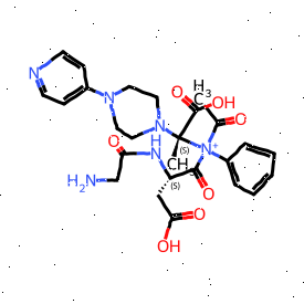 CC(=O)[N+](C(=O)[C@H](CC(=O)O)NC(=O)CN)(c1ccccc1)[C@@](C)(C(=O)O)N1CCN(c2ccncc2)CC1